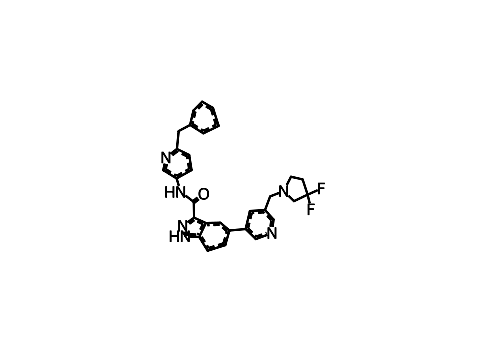 O=C(Nc1ccc(Cc2ccccc2)nc1)c1n[nH]c2ccc(-c3cncc(CN4CCC(F)(F)C4)c3)cc12